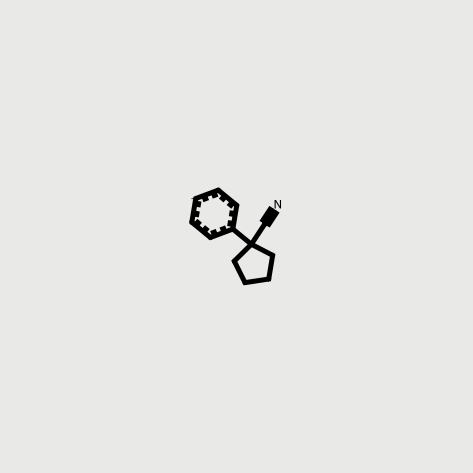 N#CC1(c2cc[c]cc2)CCCC1